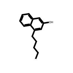 [CH2]CCCCc1cc(O)cc2ccccc12